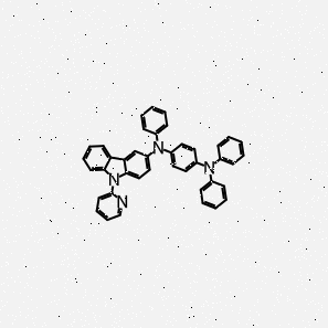 c1ccc(N(c2ccccc2)c2ccc(N(c3ccccc3)c3ccc4c(c3)c3ccccc3n4-c3ccccn3)cc2)cc1